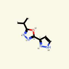 CC(C)c1nnc(-c2cc[nH]n2)o1